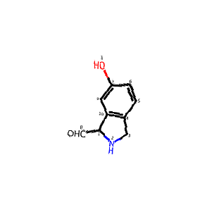 O=CC1NCc2ccc(O)cc21